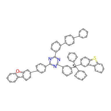 c1ccc(-c2ccc(-c3cccc(-c4nc(-c5ccc(-c6ccc7c(c6)oc6ccccc67)cc5)nc(-c5cccc([Si](c6ccccc6)(c6ccccc6)c6ccc7sc8ccccc8c7c6)c5)n4)c3)cc2)cc1